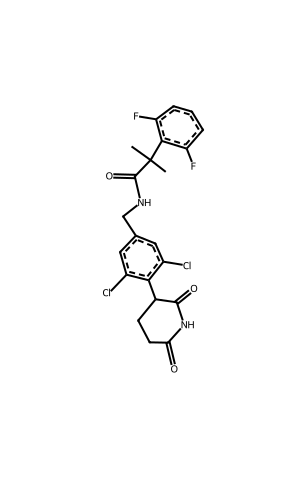 CC(C)(C(=O)NCc1cc(Cl)c(C2CCC(=O)NC2=O)c(Cl)c1)c1c(F)cccc1F